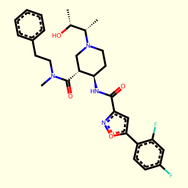 C[C@@H](O)[C@H](C)N1CC[C@@H](NC(=O)c2cc(-c3ccc(F)cc3F)on2)[C@H](C(=O)N(C)CCc2ccccc2)C1